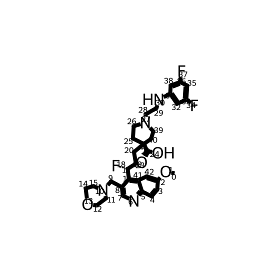 COc1ccc2ncc(CN3CCOCC3)c([C@H](F)CCC3(C(=O)O)CCN(CCNc4cc(F)cc(F)c4)CC3)c2c1